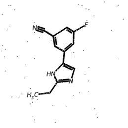 CCc1ncc(-c2cc(F)cc(C#N)c2)[nH]1